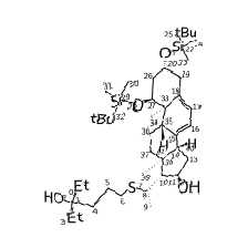 CCC(O)(CC)CCCS[C@@H](C)[C@H]1[C@H](O)C[C@H]2C3=CC=C4C[C@@H](O[Si](C)(C)C(C)(C)C)C[C@H](O[Si](C)(C)C(C)(C)C)[C@]4(C)[C@H]3CC[C@]12C